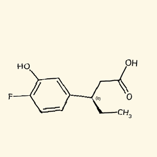 CC[C@H](CC(=O)O)c1ccc(F)c(O)c1